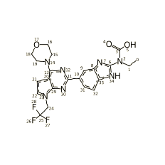 CCN(C(=O)O)c1nc2cc(-c3nc(N4CCOCC4)c4ccn(CC(F)(F)F)c4n3)ccc2[nH]1